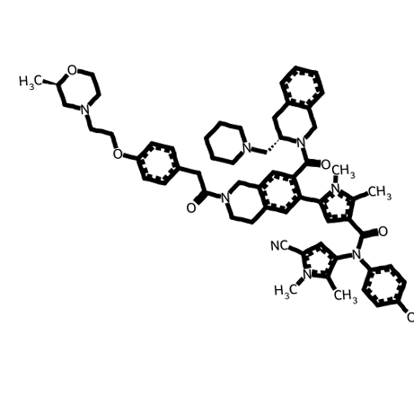 Cc1c(N(C(=O)c2cc(-c3cc4c(cc3C(=O)N3Cc5ccccc5C[C@H]3CN3CCCCC3)CN(C(=O)Cc3ccc(OCCN5CCO[C@H](C)C5)cc3)CC4)n(C)c2C)c2ccc(O)cc2)cc(C#N)n1C